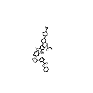 C=CC(=O)Nc1cc(Nc2cc(N3OCC[C@@H]3c3cccc(C(=O)OC4CCCCC4)c3)ncn2)c(OC)cc1N1CCC(N2CCN(C3CC3)CC2)CC1